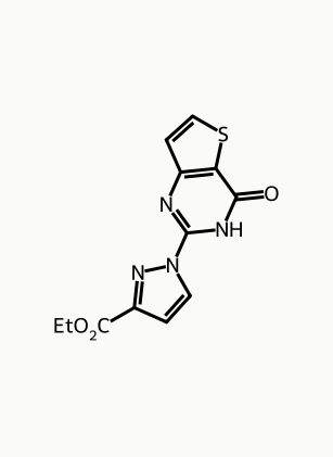 CCOC(=O)c1ccn(-c2nc3ccsc3c(=O)[nH]2)n1